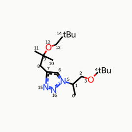 CC(COC(C)(C)C)n1cc(CC(C)(C)OCC(C)(C)C)nn1